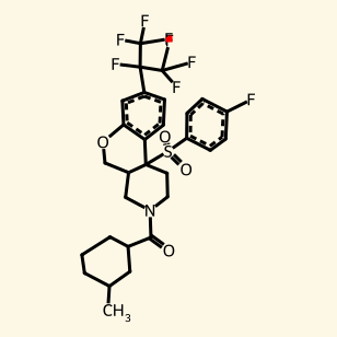 CC1CCCC(C(=O)N2CCC3(S(=O)(=O)c4ccc(F)cc4)c4ccc(C(F)(C(F)(F)F)C(F)(F)F)cc4OCC3C2)C1